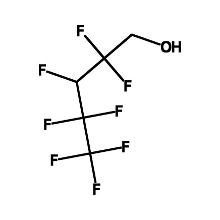 OCC(F)(F)C(F)C(F)(F)C(F)(F)F